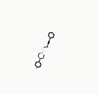 O=S(=O)(CC(C#Cc1ccccc1)NO)N1CCC(c2ccc(F)cc2)CC1